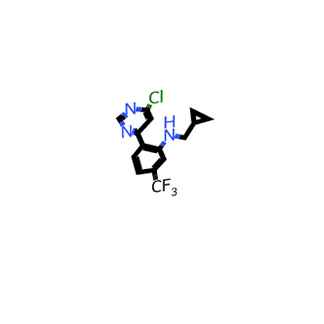 FC(F)(F)c1ccc(-c2cc(Cl)ncn2)c(NCC2CC2)c1